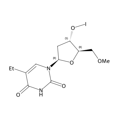 CCc1cn([C@H]2C[C@H](OI)[C@@H](COC)O2)c(=O)[nH]c1=O